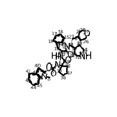 Cn1c(OC(=O)NC2(C(=O)NC(Cc3ccccc3)C(=O)N[C@H](CC3CCOCC3)C3CCNCC3)CCCC2)cc2ccccc21